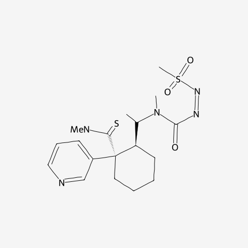 CNC(=S)[C@@]1(c2cccnc2)CCCC[C@@H]1C(C)N(C)C(=O)/N=N\S(C)(=O)=O